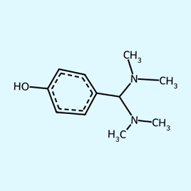 CN(C)C(c1ccc(O)cc1)N(C)C